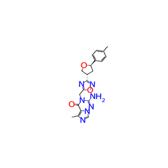 Cc1ccc([C@H]2C[C@H](c3noc(Cn4c(N)nn5cnc(C)c5c4=O)n3)CO2)cc1